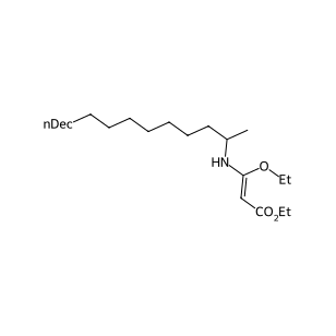 CCCCCCCCCCCCCCCCCC(C)NC(=CC(=O)OCC)OCC